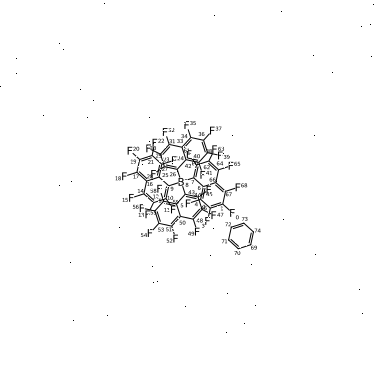 Fc1c(F)c(F)c2c([B-](c3c(F)c(F)c(F)c4c(F)c(F)c(F)c(F)c34)(c3c(F)c(F)c(F)c4c(F)c(F)c(F)c(F)c34)c3c(F)c(F)c(F)c4c(F)c(F)c(F)c(F)c34)c(F)c(F)c(F)c2c1F.c1ccccc1